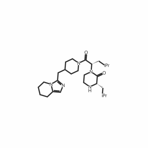 CC(C)C[C@@H]1NCCN([C@@H](CC(C)C)C(=O)N2CCC(Cc3ncc4n3CCCC4)CC2)C1=O